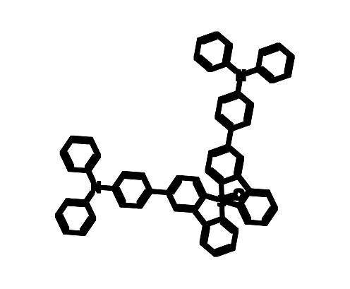 O=S12(c3ccccc3-c3cc(-c4ccc(N(c5ccccc5)c5ccccc5)cc4)ccc31)c1ccccc1-c1cc(-c3ccc(N(c4ccccc4)c4ccccc4)cc3)ccc12